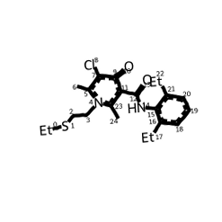 CCSCCn1c(C)c(Cl)c(=O)c(C(=O)Nc2c(CC)cccc2CC)c1C